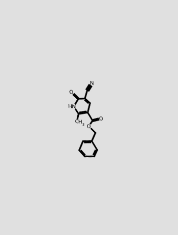 Cc1[nH]c(=O)c(C#N)cc1C(=O)OCc1ccccc1